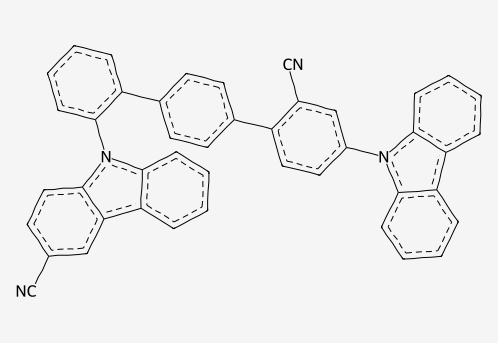 N#Cc1ccc2c(c1)c1ccccc1n2-c1ccccc1-c1ccc(-c2ccc(-n3c4ccccc4c4ccccc43)cc2C#N)cc1